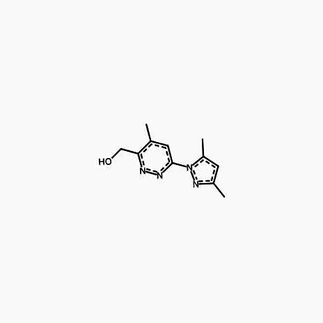 Cc1cc(C)n(-c2cc(C)c(CO)nn2)n1